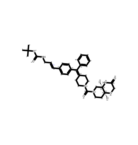 CC(C)(C)OC(=O)NC/C=C/c1ccc(C(=C2CCN(C(=O)N3CC[C@@H]4OCC(=O)N[C@@H]4C3)CC2)c2ccccc2)cc1